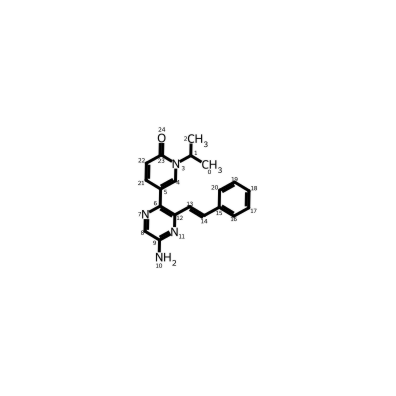 CC(C)n1cc(-c2ncc(N)nc2C=Cc2ccccc2)ccc1=O